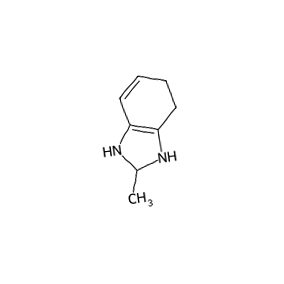 CC1NC2=C(CCC=C2)N1